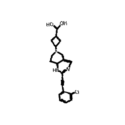 OC(O)C1CC(N2CCC3NC(C#Cc4ccccc4Cl)=NC=C3C2)C1